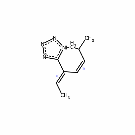 C/C=C(\C=C/C(C)C)c1nnn[nH]1